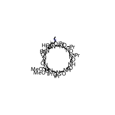 C/C=C/C[C@@H](C)[C@@H](O)[C@H]1C(=O)N[C@@H](CC)C(=O)N(C)[C@H](C)C(=O)N(C)[C@@H](C(COC)COC)C(=O)N[C@@H](C(C)C)C(=O)N(C)[C@@H](CC(C)C)C(=O)N[C@@H](C)C(=O)N[C@H](C)C(=O)N(C)[C@@H](CC(C)C)C(=O)N(C)[C@@H](CC(C)C)C(=O)N(C)[C@@H](C(C)C)C(=O)N1C